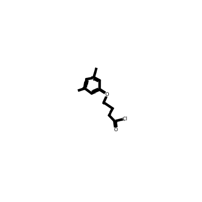 Cc1cc(C)cc(OCCCC(=O)Cl)c1